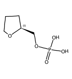 O=P(O)(O)OC[C@@H]1CCCO1